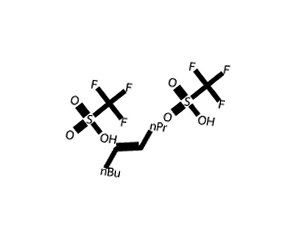 CCCC=CCCCC.O=S(=O)(O)C(F)(F)F.O=S(=O)(O)C(F)(F)F